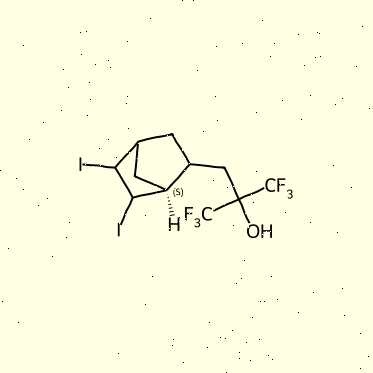 OC(CC1CC2C[C@@H]1C(I)C2I)(C(F)(F)F)C(F)(F)F